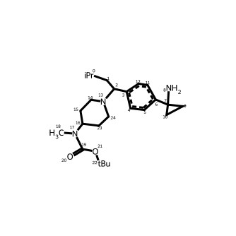 CC(C)CC(c1ccc(C2(N)CC2)cc1)N1CCC(N(C)C(=O)OC(C)(C)C)CC1